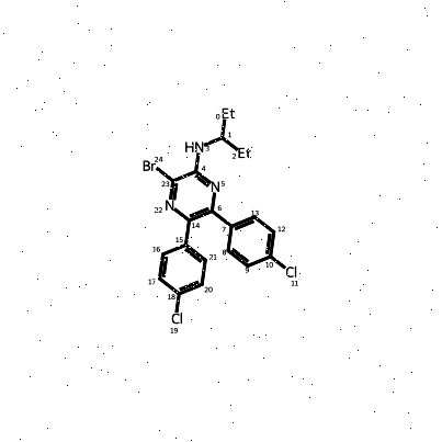 CCC(CC)Nc1nc(-c2ccc(Cl)cc2)c(-c2ccc(Cl)cc2)nc1Br